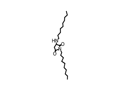 CCCCCCCCCCNC1CC(=O)N(CCCCCCCCCC)C1=O